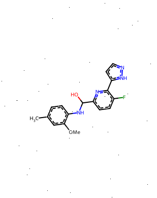 COc1cc(C)ccc1NC(O)c1ccc(F)c(-c2ccn[nH]2)n1